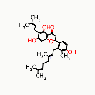 CC(C)=CCC/C(C)=C/Cc1c(C2CC(=O)c3c(cc(O)c(CC=C(C)C)c3O)O2)ccc(O)c1C